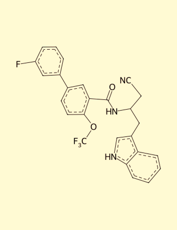 N#CCC(Cc1c[nH]c2ccccc12)NC(=O)c1cc(-c2cccc(F)c2)ccc1OC(F)(F)F